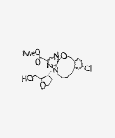 COC(=O)c1cnc2c(n1)N(C[C@@H]1CCO[C@H]1CO)CCCCc1cc(Cl)ccc1CO2